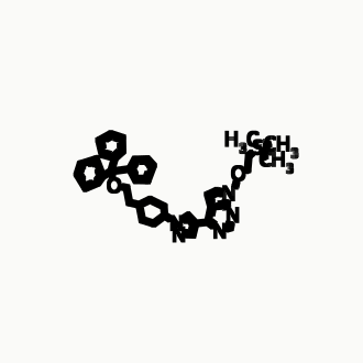 C[Si](C)(C)CCOCn1ccc2c(-c3cnn(C4CCC(CCOC(c5ccccc5)(c5ccccc5)c5ccccc5)CC4)c3)ncnc21